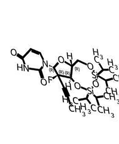 CC#C[C@@]1(F)[C@@H]2O[Si](C(C)C)(C(C)C)O[Si](C(C)C)(C(C)C)OC[C@H]2O[C@H]1n1ccc(=O)[nH]c1=O